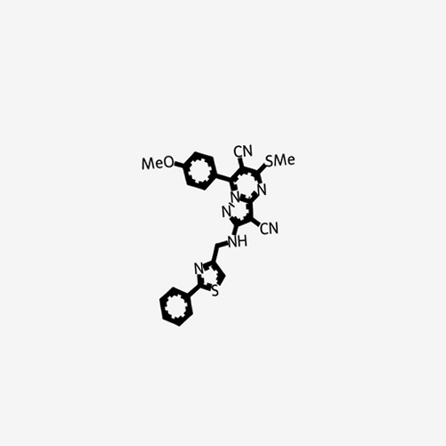 COc1ccc(-c2c(C#N)c(SC)nc3c(C#N)c(NCc4csc(-c5ccccc5)n4)nn23)cc1